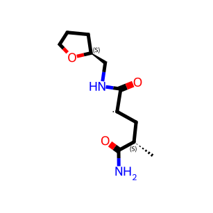 C[C@@H](C[CH]C(=O)NC[C@@H]1CCCO1)C(N)=O